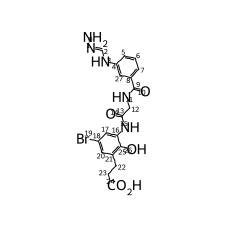 NN=CNc1cccc(C(=O)NCC(=O)Nc2cc(Br)cc(CCC(=O)O)c2O)c1